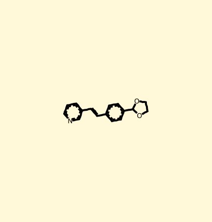 C(=Cc1cccnc1)c1ccc(C2OCCO2)cc1